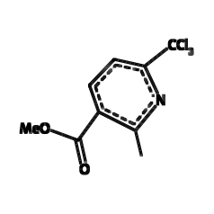 COC(=O)c1ccc(C(Cl)(Cl)Cl)nc1C